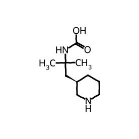 CC(C)(C[C@H]1CCCNC1)NC(=O)O